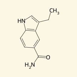 CCc1c[nH]c2ccc(C(N)=O)cc12